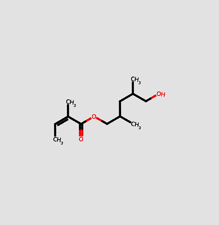 CC=C(C)C(=O)OCC(C)CC(C)CO